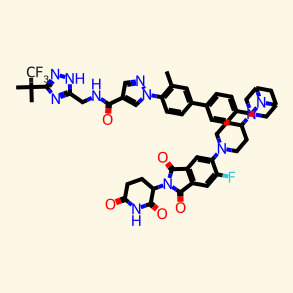 Cc1cc(-c2ccc(CN3C4CC3CN(C3CCN(c5cc6c(cc5F)C(=O)N(C5CCC(=O)NC5=O)C6=O)CC3)C4)cc2)ccc1-n1cc(C(=O)NCc2nc(C(C)(C)C(F)(F)F)n[nH]2)cn1